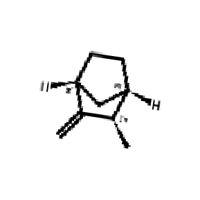 C=C1[C@@H]2CC[C@@H](C2)[C@H]1C